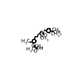 CCc1cc(CCC[C@H]2CN(Cc3ccc(C(C)(C)C)cc3)C(=O)N2C)ccc1OC(C)(C)C(=O)O